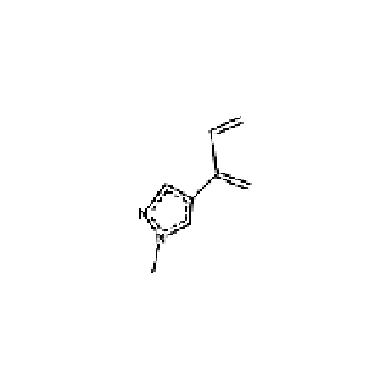 C=CC(=C)c1cnn(C)c1